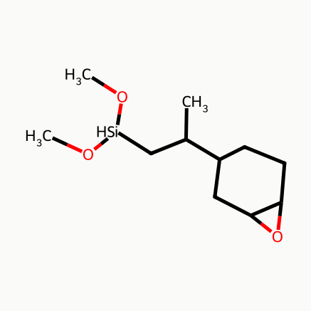 CO[SiH](CC(C)C1CCC2OC2C1)OC